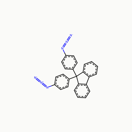 [N-]=[N+]=Nc1ccc(C2(c3ccc(N=[N+]=[N-])cc3)c3ccccc3-c3ccccc32)cc1